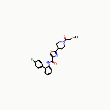 CCSCC(=O)N1CCC(c2nc(C(=O)Nc3ccccc3-c3ccc(F)cc3)cs2)CC1